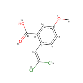 COc1ccc(C=C(Cl)Cl)c(C(=O)O)c1